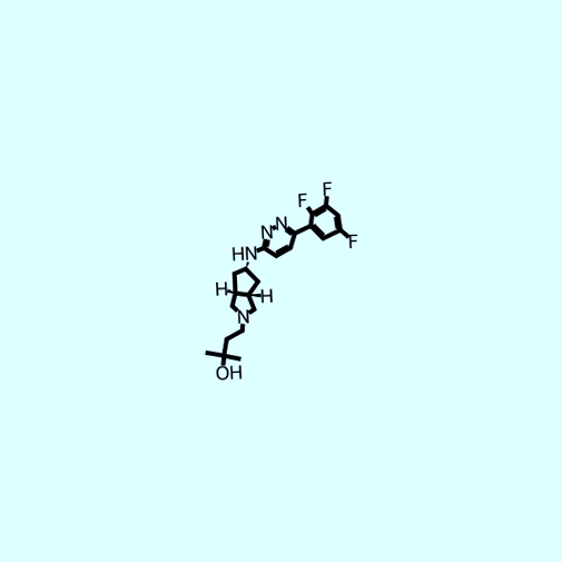 CC(C)(O)CCN1C[C@H]2C[C@@H](Nc3ccc(-c4cc(F)cc(F)c4F)nn3)C[C@H]2C1